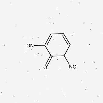 O=NC1=CC=CC(N=O)C1=O